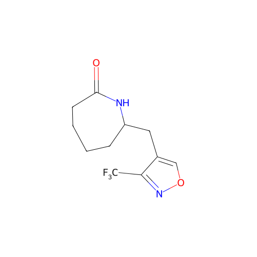 O=C1CCCCC(Cc2conc2C(F)(F)F)N1